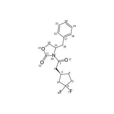 O=C(C[C@H]1CCC(F)(F)C1)N1C(=O)OCC1Cc1ccccc1